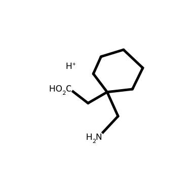 NCC1(CC(=O)O)CCCCC1.[H+]